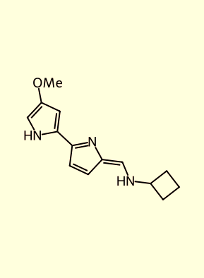 COc1c[nH]c(C2=NC(=CNC3CCC3)C=C2)c1